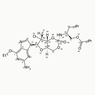 CCOc1nc(N)nc2c1ncn2[C@@H]1O[C@@H]2CO[P@@](=O)(N[C@H](COC(=O)C(C)C)CC(C)C)O[C@H]2[C@@]1(C)Cl